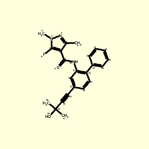 Cc1nn(C)c(F)c1C(=O)Nc1cc(C#CC(C)(C)O)ccc1-c1ccccc1